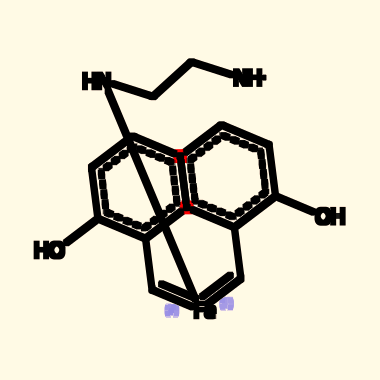 [NH]CC[NH]/[Fe](=[CH]\c1ccccc1O)=[CH]/c1ccccc1O